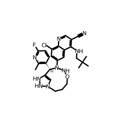 Cc1nc(F)ccc1[C@H]1C2=CN(CCCONN1c1cc(Cl)c3ncc(C#N)c(NCC(C)(C)C)c3c1)NN2